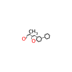 C/C(=C/C=O)C1=Cc2cc(-c3ccccc3)ccc2OC1